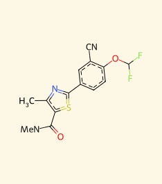 CNC(=O)c1sc(-c2ccc(OC(F)F)c(C#N)c2)nc1C